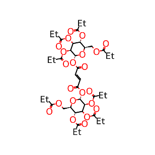 CCC(=O)OC[C@H]1O[C@H](OC(=O)/C=C/C(=O)O[C@H]2O[C@H](COC(=O)CC)[C@@H](OC(=O)CC)[C@H](OC(=O)CC)[C@@H]2OC(=O)CC)[C@@H](OC(=O)CC)[C@@H](OC(=O)CC)[C@@H]1OC(=O)CC